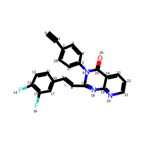 C#Cc1ccc(-n2c(/C=C/c3ccc(F)c(F)c3)nc3ncccc3c2=O)cc1